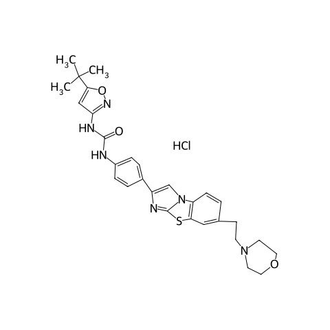 CC(C)(C)c1cc(NC(=O)Nc2ccc(-c3cn4c(n3)sc3cc(CCN5CCOCC5)ccc34)cc2)no1.Cl